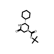 CC(C)(C)OC(=O)N1CC(=O)N[C@H](C2CCCCC2)C1